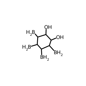 BC1C(B)C(B)C(O)C(O)C1B